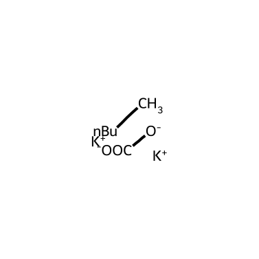 CCCCC.O=C([O-])[O-].[K+].[K+]